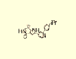 CC(C)c1ccc(-c2cc(-c3cc4c([nH]3)C3(CC3)CNC4=O)ccn2)cc1